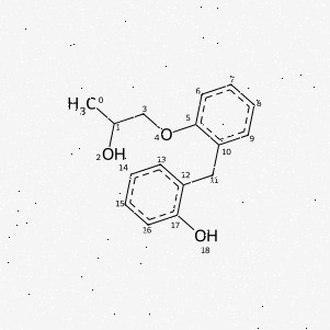 CC(O)COc1ccccc1Cc1ccccc1O